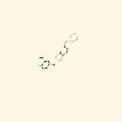 C=C(CCCC)c1cc(C(=O)N2Cc3ccc(CN4CCOCC4)cc3C2)c(O)cc1NN